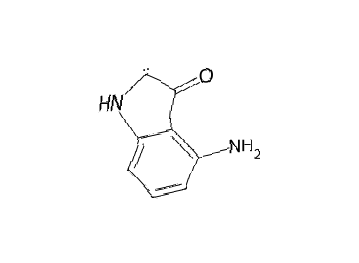 Nc1cccc2c1C(=O)[C]N2